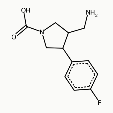 NCC1CN(C(=O)O)CC1c1ccc(F)cc1